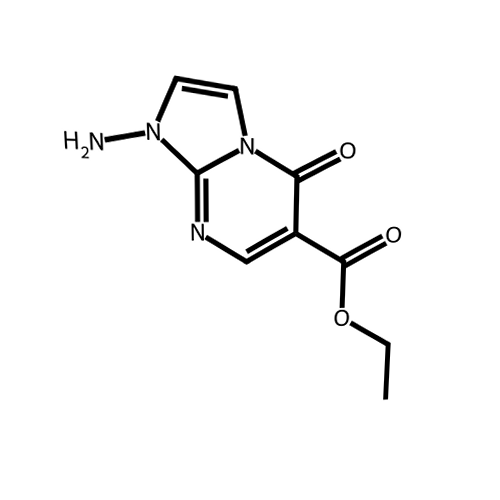 CCOC(=O)c1cnc2n(N)ccn2c1=O